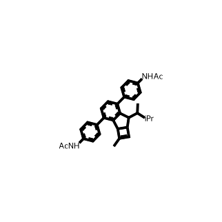 CC(=O)Nc1ccc(-c2ccc(-c3ccc(NC(C)=O)cc3)c3c2C2C(C)=CC2C3C(C)C(C)C)cc1